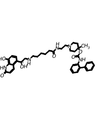 CC1(OC(=O)Nc2ccccc2-c2ccccc2)CCN(CCNC(=O)CCCCCNC[C@@H](O)c2ccc(O)c3[nH]c(=O)ccc23)CC1